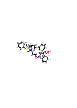 OC(c1ccccc1)(c1ccccc1)c1noc(C[N+]23CCC(CC2)[C@@H](Sc2ccccc2)C3)n1